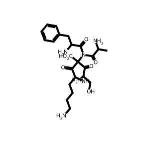 CC(N)C(=O)N(C(=O)C(N)Cc1ccccc1)C(C(=O)O)(C(=O)C(N)CO)C(=O)C(N)CCCCN